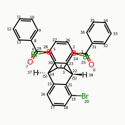 O=C(OC1C(OC(=O)c2ccccc2)[C@H]2c3cccc(Br)c3[C@H]1c1c(Br)ccc(Br)c12)c1ccccc1